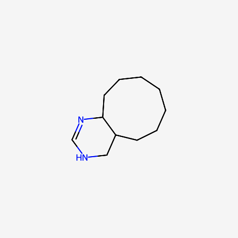 C1=NC2CCCCCCCC2CN1